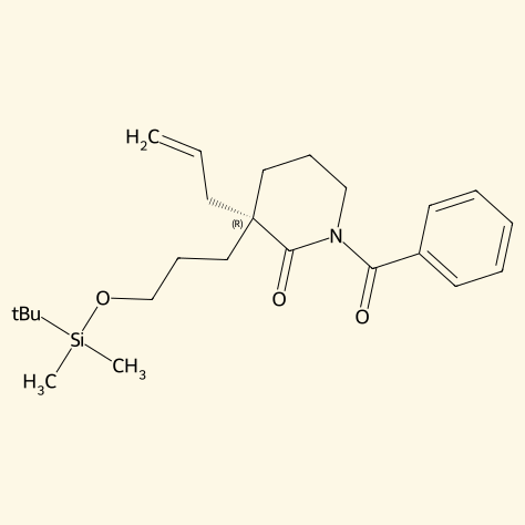 C=CC[C@]1(CCCO[Si](C)(C)C(C)(C)C)CCCN(C(=O)c2ccccc2)C1=O